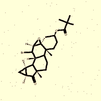 CC(C)(C)C(=O)O[C@H]1CC[C@]2(C)C3CC[C@]4(C)C(=O)[C@H]5C[C@H]5C4[C@@H]3C(Br)[C@H]3O[C@]32C1